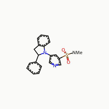 CNS(=O)(=O)c1cncc(N2c3ccccc3CC2c2ccccc2)c1